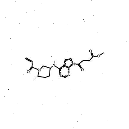 C=CC(=O)N1C[C@@H](Nc2ncnc3c2ccn3C(=O)CCC(=O)OC)CC[C@@H]1C